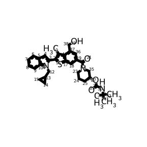 Cc1c(-c2cc3ccccc3n2CC2CC2)sc2cc(C(=O)N3CCC[C@@H](OC(=O)NC(C)(C)C)C3)cc(CO)c12